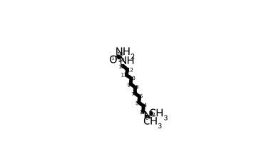 CN(C)CCCCCCCCCCCNC(N)=O